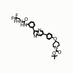 CC(C)(C)OC(=O)N1CCC(Oc2ccc(-c3cnc4c(-c5cccc(NC(=O)NCC(F)(F)F)c5)cnn4c3)cc2)CC1